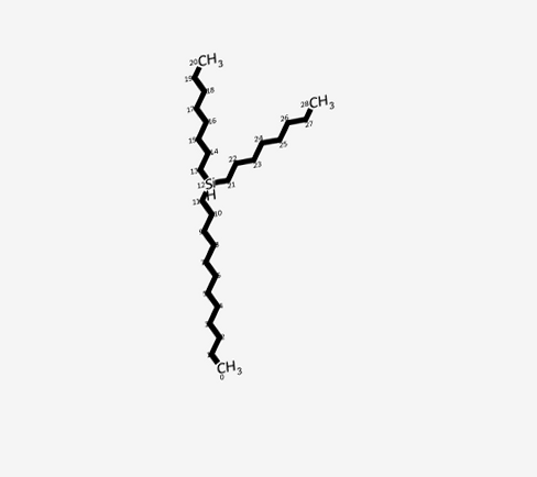 CCCCCCCCCCCC[SiH](CCCCCCCC)CCCCCCCC